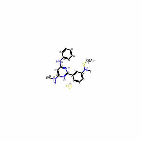 COSN(C)c1cccc(-c2nc(Nc3ccccc3)cc(NC(C)C)n2)c1.S